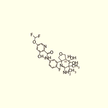 Cc1cc(OC(F)F)cnc1C(=O)Nc1ccc(F)c(C23COC[C@H]2S(O)(O)C(C)(C)C(N)=N3)c1